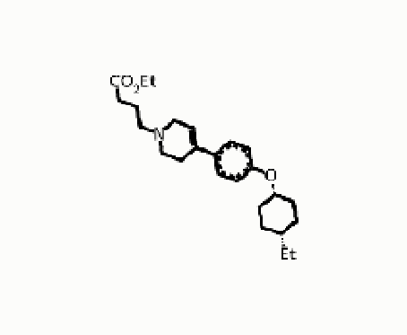 CCOC(=O)CCCN1CC=C(c2ccc(O[C@H]3CC[C@@H](CC)CC3)cc2)CC1